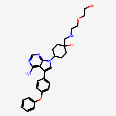 Nc1ncnc2c1c(-c1ccc(Oc3ccccc3)cc1)cn2C1CCC(O)(CNCCOCCO)CC1